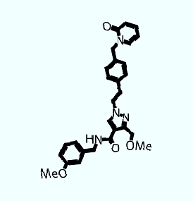 COCc1nn(CCc2ccc(Cn3ccccc3=O)cc2)cc1C(=O)NCc1cccc(OC)c1